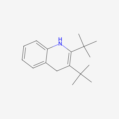 CC(C)(C)C1=C(C(C)(C)C)Nc2ccccc2C1